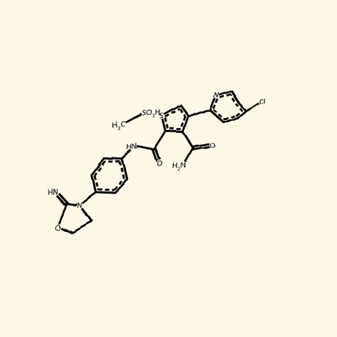 CS(=O)(=O)O.N=C1OCCN1c1ccc(NC(=O)c2scc(-c3ccc(Cl)cn3)c2C(N)=O)cc1